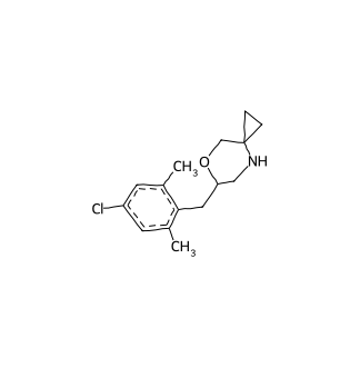 Cc1cc(Cl)cc(C)c1CC1CNC2(CC2)CO1